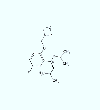 CC(C)C[C@H](OC(C)C)c1cc(F)ccc1OCC1COC1